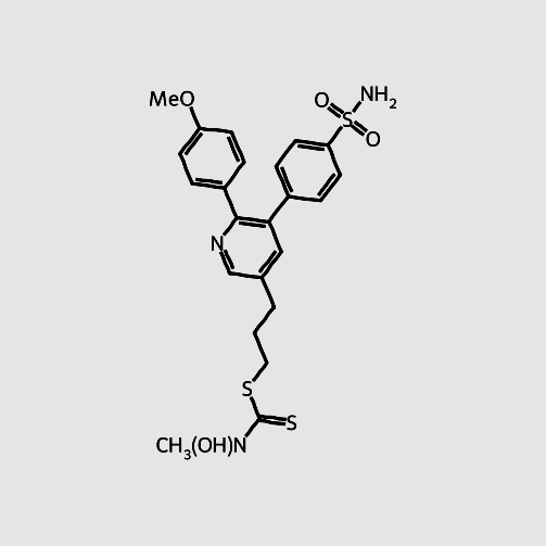 COc1ccc(-c2ncc(CCCSC(=S)N(C)O)cc2-c2ccc(S(N)(=O)=O)cc2)cc1